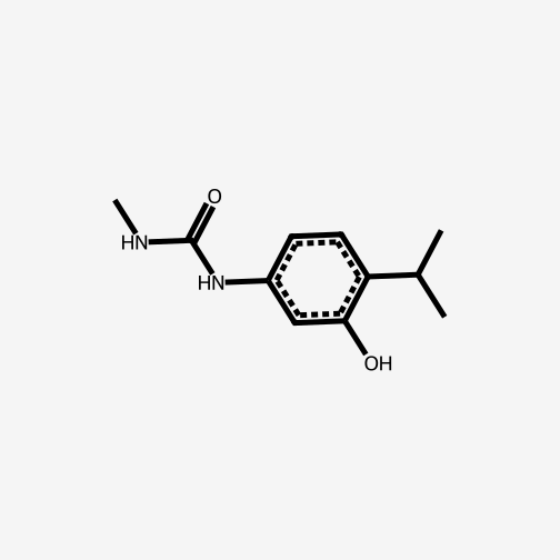 CNC(=O)Nc1ccc(C(C)C)c(O)c1